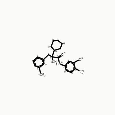 Cc1cccc(CC(O)(C(=O)Nc2ccc(C#N)c(Cl)c2)C2CCCCC2)c1